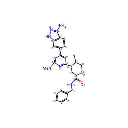 CNc1nc(-c2ccc3c(N)n[nH]c3c2)cc(N2C[C@@H](C(=O)NCc3ccccc3)OCC2C)n1